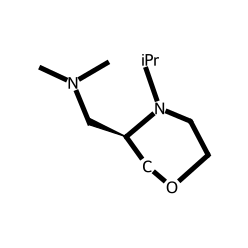 CC(C)N1CCOC[C@H]1CN(C)C